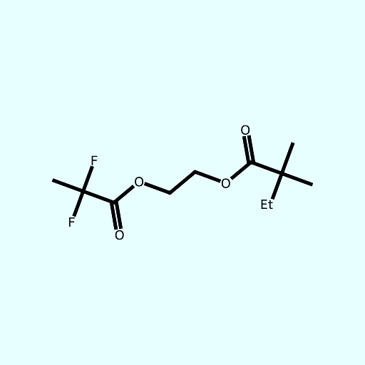 CCC(C)(C)C(=O)OCCOC(=O)C(C)(F)F